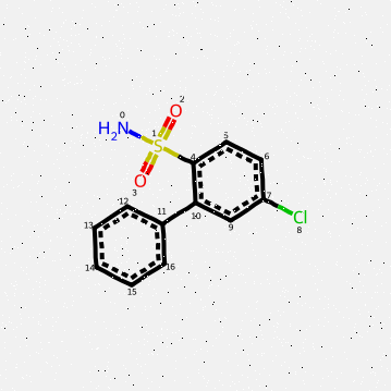 NS(=O)(=O)c1ccc(Cl)cc1-c1ccccc1